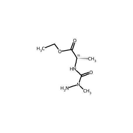 CCOC(=O)[C@H](C)NC(=O)N(C)N